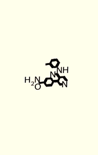 Cc1cccc(Nc2nc3cc(C(N)=O)ccc3c3cnccc23)c1